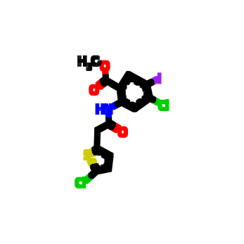 COC(=O)c1cc(I)c(Cl)cc1NC(=O)Cc1ccc(Cl)s1